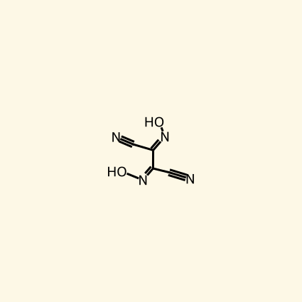 N#CC(=NO)C(C#N)=NO